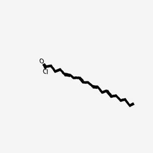 CCCCC/C=C/C/C=C/C/C=C/C/C=C/CCCC(=O)Cl